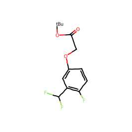 CC(C)(C)OC(=O)COc1ccc(F)c(C(F)F)c1